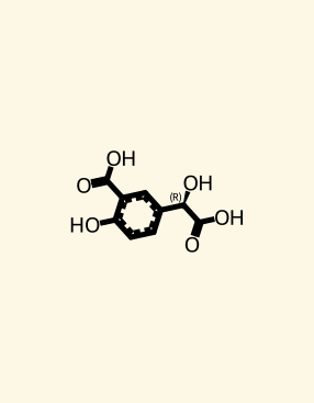 O=C(O)c1cc([C@@H](O)C(=O)O)ccc1O